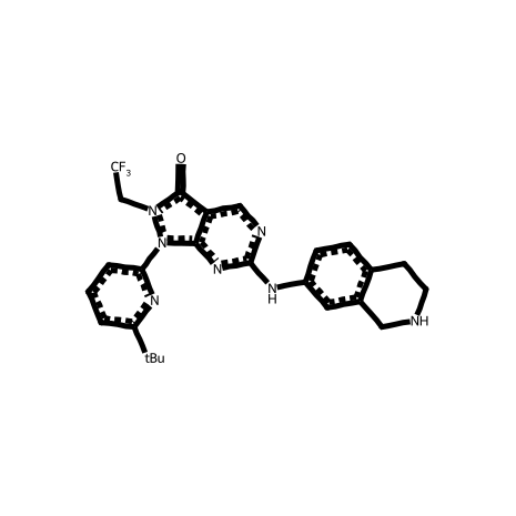 CC(C)(C)c1cccc(-n2c3nc(Nc4ccc5c(c4)CNCC5)ncc3c(=O)n2CC(F)(F)F)n1